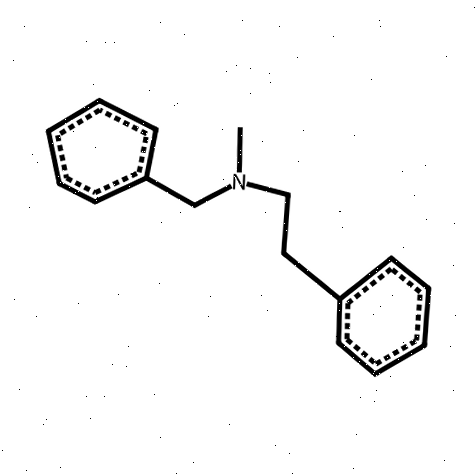 CN(CCc1ccccc1)Cc1ccccc1